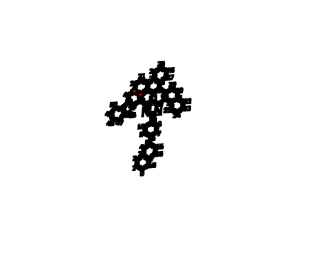 c1ccc2cc(-c3ccc(-c4nc(-c5c(-c6cc7ccccc7c7ccccc67)ccc6ccccc56)nc(-c5cccc6c5sc5ccccc56)n4)cc3)ccc2c1